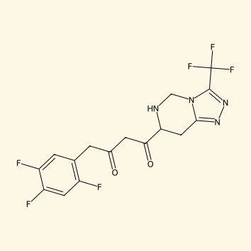 O=C(CC(=O)C1Cc2nnc(C(F)(F)F)n2CN1)Cc1cc(F)c(F)cc1F